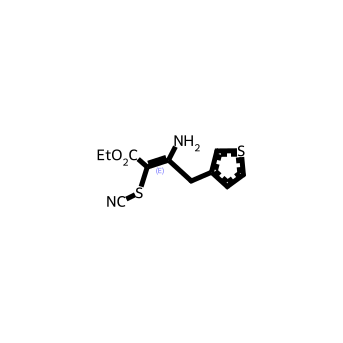 CCOC(=O)/C(SC#N)=C(\N)Cc1ccsc1